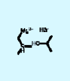 Br.CC(C)O.C[SiH](C)[CH2][Mg+2]